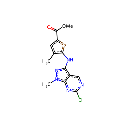 COC(=O)c1cc(C)c(Nc2nn(C)c3nc(Cl)ncc23)s1